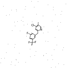 Cc1cnc(Cc2cc(F)cc(C(F)(F)F)c2)cc1Cl